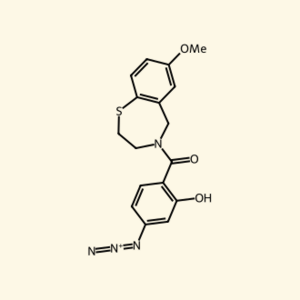 COc1ccc2c(c1)CN(C(=O)c1ccc(N=[N+]=[N-])cc1O)CCS2